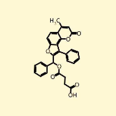 Cc1cc(=O)oc2c1ccc1oc(C(OC(=O)CCC(=O)O)c3ccccc3)c(-c3ccccc3)c12